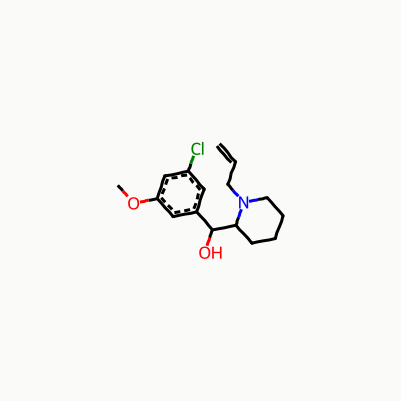 C=CCN1CCCCC1C(O)c1cc(Cl)cc(OC)c1